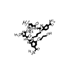 CCc1nn(C)cc1C(=O)Nc1nc2cc(C(N)=O)cc(OCCCO)c2n1CC=CCn1c(NC(=O)c2cc(C)nn2CC)nc2cc(C(N)=O)ccc21